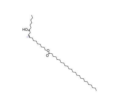 CCCCCCCCCCCCCCCCCCCCCCCCC(=O)OCCCCCCCC/C=C\C[C@H](O)CCCCCC